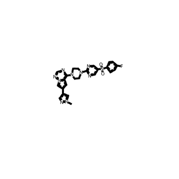 Cn1cc(-c2cc3c(N4CCN(c5ncc(S(=O)(=O)c6ccc(F)cc6)cn5)CC4)ncnn3c2)cn1